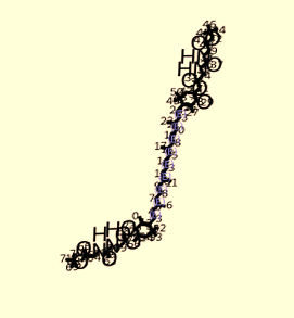 CC1=C(/C=C/C(C)=C/C=C/C(C)=C/C=C/C=C(C)/C=C/C=C(C)/C=C/C2=C(C)C(=O)C(OC(=O)CNC(=O)NCC(=O)OC(C)(C)C)CC2(C)C)C(C)(C)CC(OC(=O)CNC(=O)NCC(=O)OC(C)(C)C)C1=O